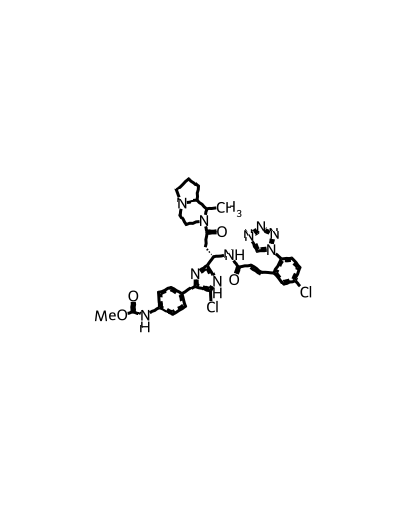 COC(=O)Nc1ccc(-c2nc([C@H](CC(=O)N3CCN4CCCC4C3C)NC(=O)/C=C/c3cc(Cl)ccc3-n3cnnn3)[nH]c2Cl)cc1